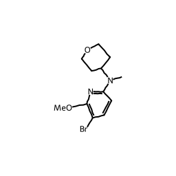 COc1nc(N(C)C2CCOCC2)ccc1Br